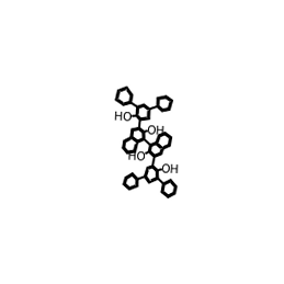 Oc1c(-c2ccccc2)cc(-c2ccccc2)cc1-c1cc2ccccc2c(-c2c(O)c(-c3cc(-c4ccccc4)cc(-c4ccccc4)c3O)cc3ccccc23)c1O